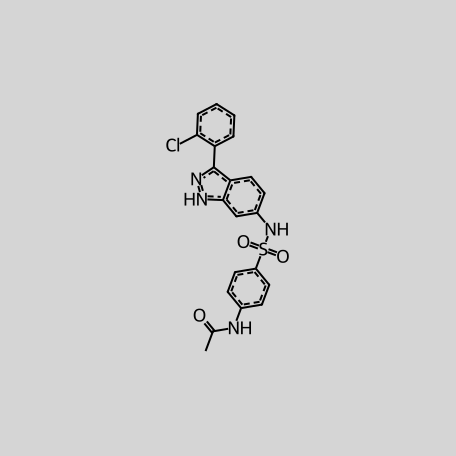 CC(=O)Nc1ccc(S(=O)(=O)Nc2ccc3c(-c4ccccc4Cl)n[nH]c3c2)cc1